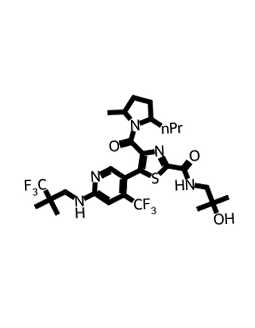 CCCC1CCC(C)N1C(=O)c1nc(C(=O)NCC(C)(C)O)sc1-c1cnc(NCC(C)(C)C(F)(F)F)cc1C(F)(F)F